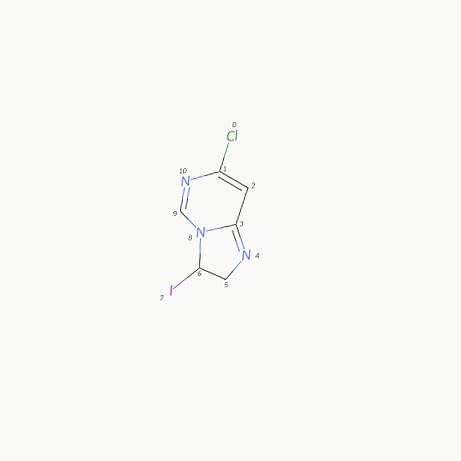 ClC1=CC2=NCC(I)N2C=N1